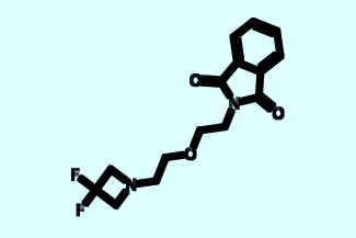 O=C1c2ccccc2C(=O)N1CCOCCN1CC(F)(F)C1